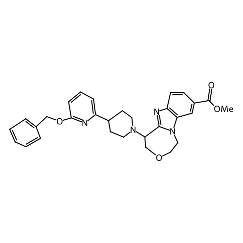 COC(=O)c1ccc2nc3n(c2c1)CCOCC3N1CCC(c2cccc(OCc3ccccc3)n2)CC1